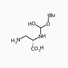 CC(C)(C)OC(O)N[C@@H](CN)C(=O)O